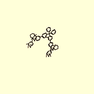 Cc1cc(N2c3ccc(-c4ccc5c(c4)-c4cc(-c6ccc7c(c6)C6(C)CCCCC6(C)N7c6ccnc(C)c6)ccc4C5(c4ccccc4)c4ccccc4)cc3C3(C)CCCCC23C)ccn1